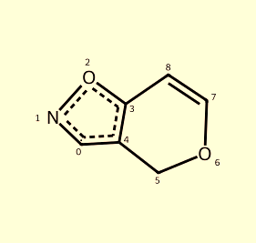 [c]1noc2c1COC=C2